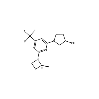 C[C@H]1CCN1c1nc(N2CCC(O)C2)cc(C(F)(F)F)n1